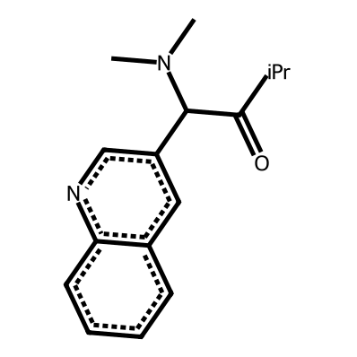 CC(C)C(=O)C(c1cnc2ccccc2c1)N(C)C